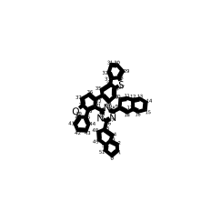 c1ccc2cc(-c3nc(-c4ccc5ccccc5c4)nc(-c4c(-c5ccc6sc7ccccc7c6c5)ccc5oc6ccccc6c45)n3)ccc2c1